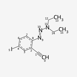 C#Cc1cc(I)ccc1N=NN(CC)CC